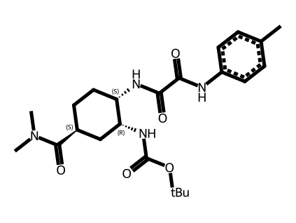 Cc1ccc(NC(=O)C(=O)N[C@H]2CC[C@H](C(=O)N(C)C)C[C@H]2NC(=O)OC(C)(C)C)cc1